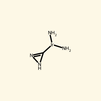 [NH2][Ir]([NH2])[C]1=NN1